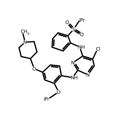 CC(C)Oc1cc(OC2CCN(C)CC2)ccc1Nc1ncc(Cl)c(Nc2ccccc2S(=O)(=O)C(C)C)n1